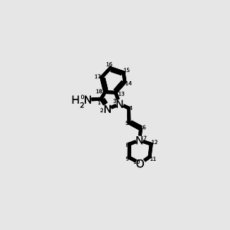 Nc1nn(CC=CN2CCOCC2)c2ccccc12